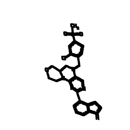 CS(=O)(=O)c1ccc(CN2CC3COCCN3c3nc(-c4cccc5[nH]ccc45)ncc32)c(Cl)c1